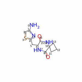 Nc1csc(CC2NC(=O)C3(CCC3)NC2=O)n1